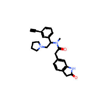 C#Cc1cccc(C(CN2CCCC2)N(C)C(=O)Cc2ccc3c(c2)NC(=O)C3)c1